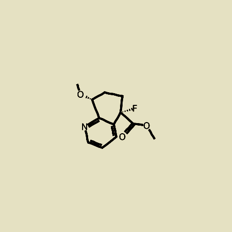 COC(=O)[C@]1(F)CC[C@@H](OC)c2ncccc21